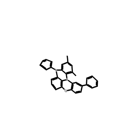 Cc1cc(C)c2c(c1)N(c1ccccc1)c1cccc3c1B2c1cc(-c2ccccc2)ccc1O3